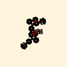 CCCCCCCCC1(CCCCCCCC)c2cc(N(c3ccc(B4OC(C)(C)C(C)(C)O4)cc3)c3ccccc3-c3ccccc3)ccc2-c2ccc(N(c3ccc(B4OC(C)(C)C(C)(C)O4)cc3)c3ccccc3-c3ccccc3)cc21